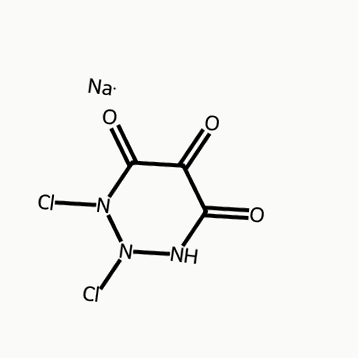 O=c1[nH]n(Cl)n(Cl)c(=O)c1=O.[Na]